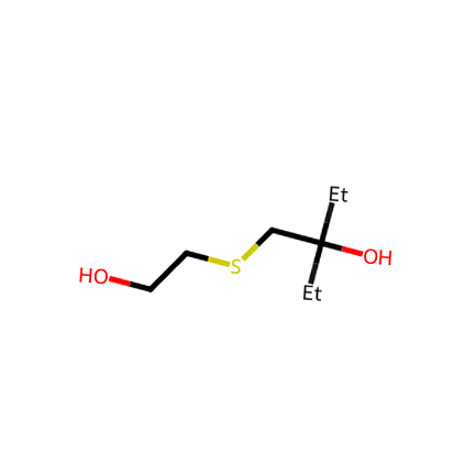 CCC(O)(CC)CSCCO